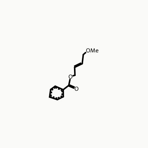 COCC=CCOC(=O)c1ccccc1